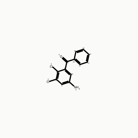 Nc1cc(Cl)c(Cl)c(C(=O)c2ccccc2)c1